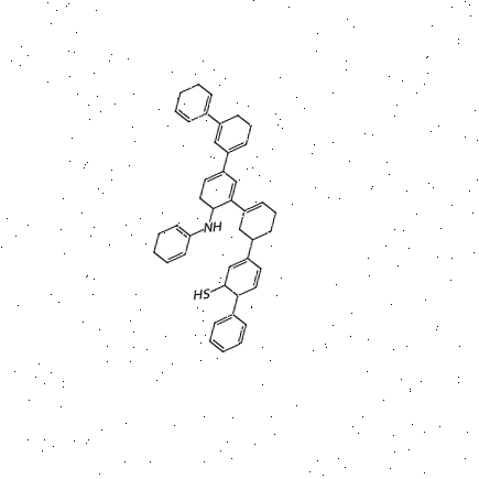 SC1C=C(C2CCC=C(C3=CC(C4=CCCC(C5=CCCC=C5)=C4)=CCC3NC3=CCCC=C3)C2)C=CC1c1ccccc1